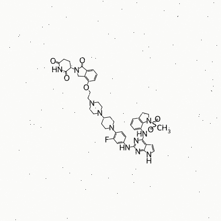 CS(=O)(=O)N1CCc2cccc(Nc3nc(Nc4ccc(N5CCC(N6CCN(CCOc7cccc8c7CN(C7CCC(=O)NC7=O)C8=O)CC6)CC5)c(F)c4)nc4[nH]ccc34)c21